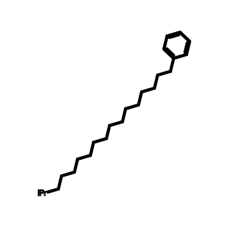 CC(C)CCCCCCCCCCCCCCCc1ccccc1